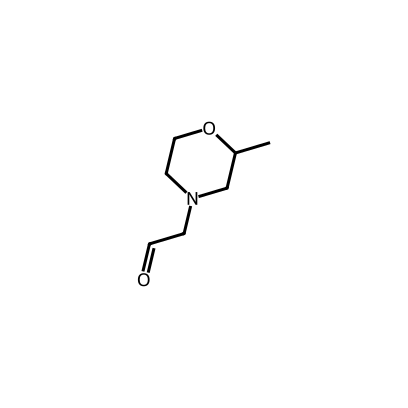 CC1CN(CC=O)CCO1